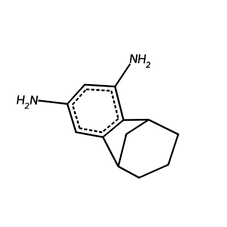 Nc1cc(N)c2c(c1)C1CCCC2C1